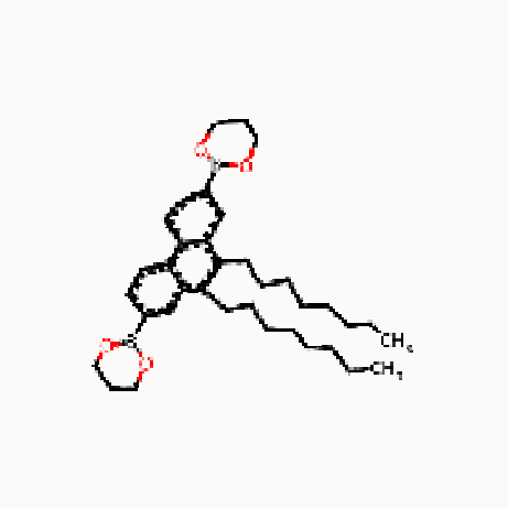 CCCCCCCCc1c(CCCCCCCC)c2cc(B3OCCCO3)ccc2c2ccc(B3OCCCO3)cc12